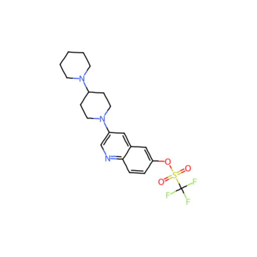 O=S(=O)(Oc1ccc2ncc(N3CCC(N4CCCCC4)CC3)cc2c1)C(F)(F)F